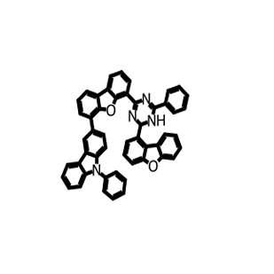 c1ccc(C2=NC(c3cccc4c3oc3c(-c5ccc6c(c5)c5ccccc5n6-c5ccccc5)cccc34)=NC(c3cccc4oc5ccccc5c34)N2)cc1